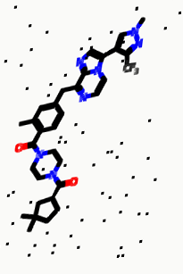 Cc1cc(Cc2nccn3c(-c4cn(C)nc4C(F)(F)F)cnc23)ccc1C(=O)N1CCN(C(=O)[C@H]2CCC(C)(C)C2)CC1